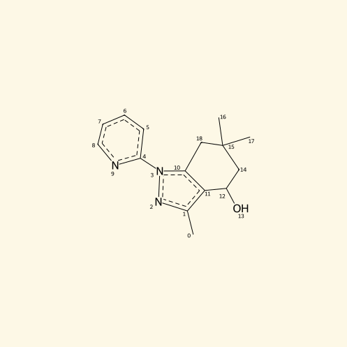 Cc1nn(-c2ccccn2)c2c1C(O)CC(C)(C)C2